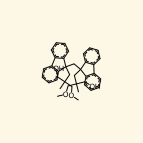 COCC(C)(CO)CC1(CC2(CC(C)(CO)COC)c3ccccc3-c3ccccc32)c2ccccc2-c2ccccc21